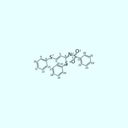 O=S(=O)(N=C(C=CSc1ccccc1)Sc1ccccc1)c1ccccc1